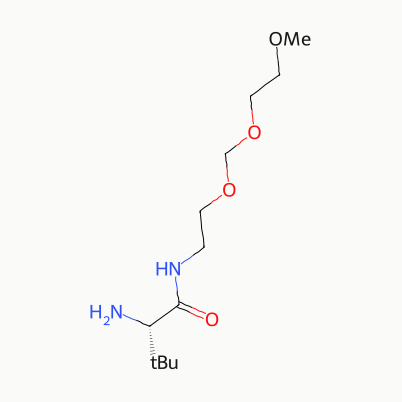 COCCOCOCCNC(=O)[C@@H](N)C(C)(C)C